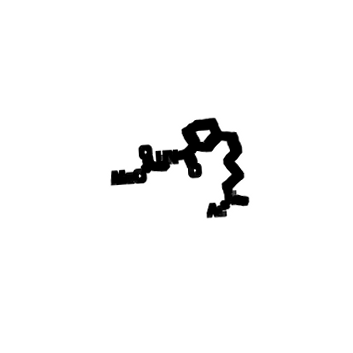 COC(=O)CNC(=O)c1cccc(/C=C\CCCN(C)C(C)=O)c1